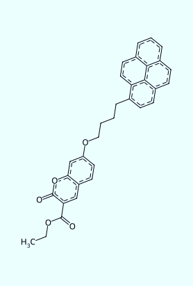 CCOC(=O)c1cc2ccc(OCCCCc3ccc4ccc5cccc6ccc3c4c56)cc2oc1=O